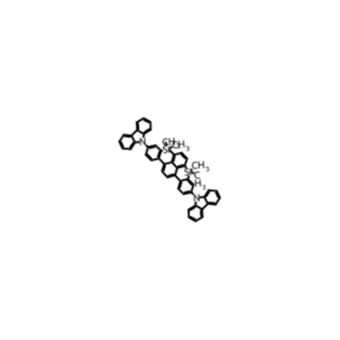 C[Si]1(C)c2cc(-n3c4ccccc4c4ccccc43)ccc2-c2ccc3c4c(ccc1c24)[Si](C)(C)c1cc(-n2c4ccccc4c4ccccc42)ccc1-3